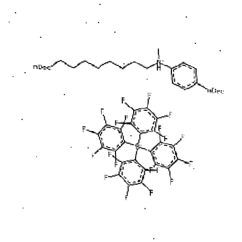 CCCCCCCCCCCCCCCCCC[NH+](C)c1ccc(CCCCCCCCCC)cc1.Fc1c(F)c(F)c([B-](c2c(F)c(F)c(F)c(F)c2F)(c2c(F)c(F)c(F)c(F)c2F)c2c(F)c(F)c(F)c(F)c2F)c(F)c1F